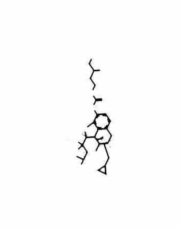 CCC1(OC)[C@@H]([C@](C)(O)C(C)(C)C)C[C@]2(C)[C@H]3Cc4ccc(OC(=O)OCCC(O)CO)c5c4[C@@]2(CCN3CC2CC2)[C@H]1O5